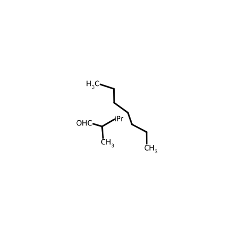 CC(C)C(C)C=O.CCCCCCC